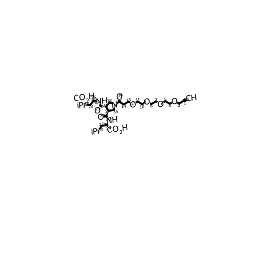 C#CCOCCOCCOCCOCCC(=O)N1C[C@@H](C(=O)N[C@@H](CC(C)C)C(=O)O)[C@H](C(=O)N[C@@H](CC(C)C)C(=O)O)C1